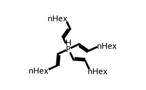 CCCCCCC=C[PH](C=CCCCCCC)(C=CCCCCCC)C=CCCCCCC